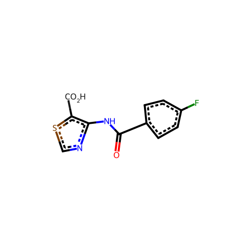 O=C(Nc1ncsc1C(=O)O)c1ccc(F)cc1